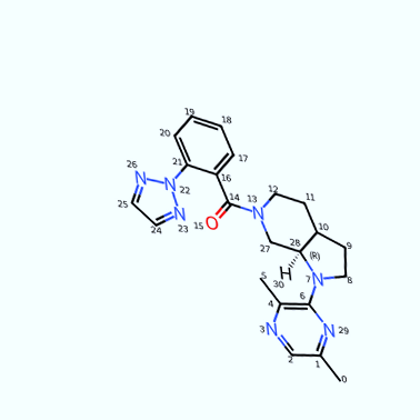 Cc1cnc(C)c(N2CCC3CCN(C(=O)c4ccccc4-n4nccn4)C[C@@H]32)n1